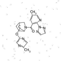 Cc1cnc(-n2nccn2)c(C(=O)N2CC3CCC2C(Oc2cnc(C)cn2)C3)c1